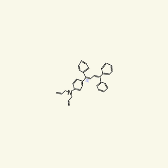 C=CCN(CC=C)c1ccc(/C(=C/C=C(c2ccccc2)c2ccccc2)c2ccccc2)cc1